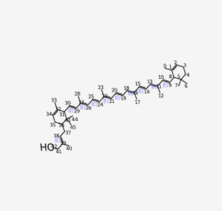 CC1=CCCC(C)(C)C1/C=C/C(C)=C/C=C/C(C)=C/C=C/C=C(C)/C=C/C=C(C)/C=C/C1C(C)=CCC(C/C=C(\C)CO)C1(C)C